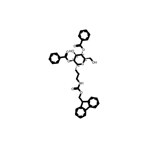 O=C(NCCC[C@H]1O[C@H](CO)[C@@H](OC(=O)c2ccccc2)[C@H](O)[C@@H]1OC(=O)c1ccccc1)OCC1c2ccccc2-c2ccccc21